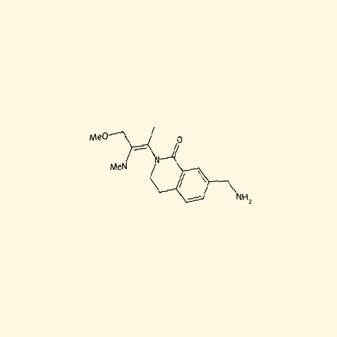 CN/C(COC)=C(/C)N1CCc2ccc(CN)cc2C1=O